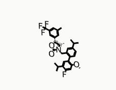 COc1cc(F)c(C(C)C)cc1-c1ccc(C(C)C)cc1CN1C(=O)O[C@H](c2cc(C)cc(C(F)(F)F)c2)[C@@H]1C